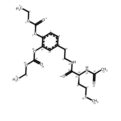 CCOC(=O)Oc1ccc(CCNC(=O)[C@H](CCSC)NC(C)=O)cc1OC(=O)OCC